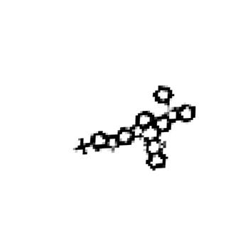 CC(C)(C)c1ccc2c(c1)sc1cc3c(cc12)c1ccccc1n3-c1nc2ccccc2nc1-c1ccc2c(c1)c1ccccc1n2-c1ccccc1